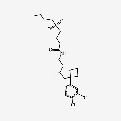 CCCCS(=O)(=O)CCCC(=O)NCCC(C)CC1(c2ccc(Cl)c(Cl)c2)CCC1